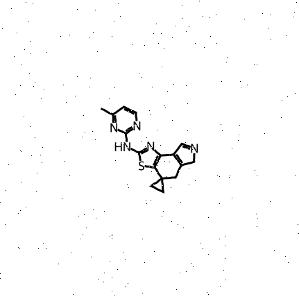 Cc1ccnc(Nc2nc3c(s2)C2(CC2)CC2=C3C=NC2)n1